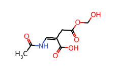 CC(=O)NC=C(CC(=O)OCO)C(=O)O